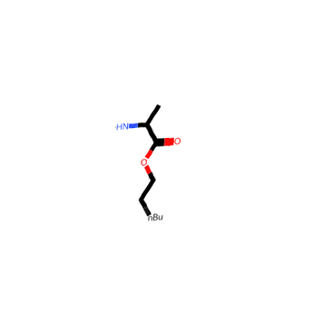 CCCCCCOC(=O)C(C)[NH]